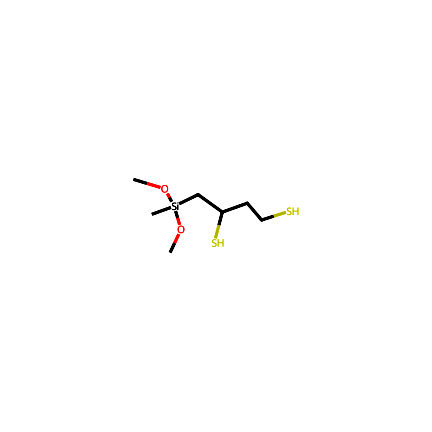 CO[Si](C)(CC(S)CCS)OC